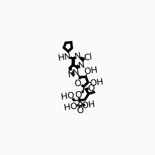 O=P(O)(O)[C@@](CO)(CC1COC1)OC[C@H]1O[C@@H](n2ncc3c(NC4CCCC4)nc(Cl)nc32)[C@H](O)[C@@H]1O